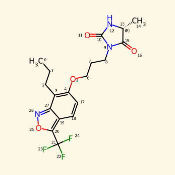 CCCc1c(OCCCN2C(=O)N[C@H](C)C2=O)ccc2c(C(F)(F)F)onc12